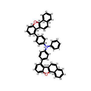 c1ccc(N(c2ccc(-c3cccc4oc5c6ccccc6ccc5c34)cc2)c2ccc(-c3cccc4oc5c6ccccc6ccc5c34)cc2)cc1